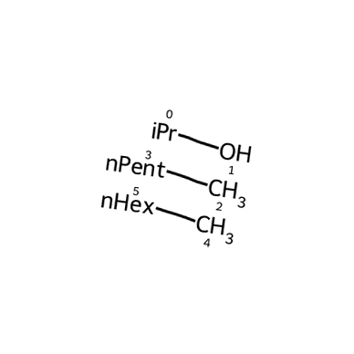 CC(C)O.CCCCCC.CCCCCCC